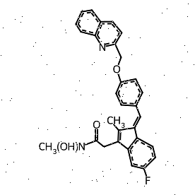 CC1=C(CC(=O)N(C)O)c2cc(F)ccc2C1=Cc1ccc(OCc2ccc3ccccc3n2)cc1